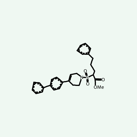 COC(=O)C(CCCc1ccccc1)S(=O)(=O)N1CC=C(c2ccc(-c3ccccc3)cc2)CC1